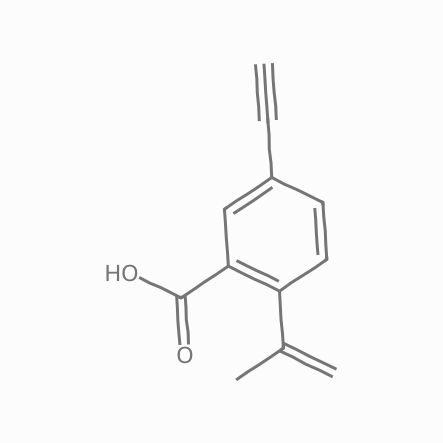 C#Cc1ccc(C(=C)C)c(C(=O)O)c1